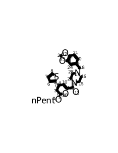 CCCCCO[C@@H]1C[C@H](c2cccs2)C=C(C(=O)N2CCN(Cc3ccc4c(c3)OCO4)CC2)O1